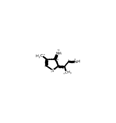 CC1=CS/C(=C(\C)C=N)C1=N